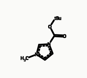 C[n+]1ccn(C(=O)OC(C)(C)C)c1